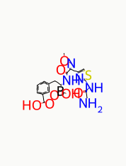 CO/N=C(\C(=O)N[C@H]1Cc2cccc(C(=O)O)c2OB1O)c1csc(NC(=O)CN)n1